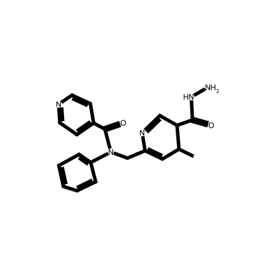 CC1C=C(CN(C(=O)c2ccncc2)c2ccccc2)N=CC1C(=O)NN